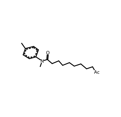 CC(=O)CCCCCCCCC(=O)N(C)c1ccc(C)cc1